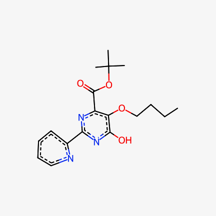 CCCCOc1c(O)nc(-c2ccccn2)nc1C(=O)OC(C)(C)C